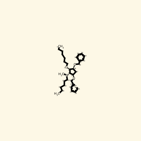 CCCCCCCO[C@@H]1[C@@H](N(C)CCCCCC)[C@H](OCc2ccccc2)C[C@@H]1OCc1ccccc1